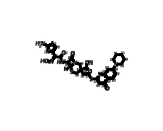 Nc1nc(C(=NO)C(=O)NC2C(=O)N3CC(C=CSc4cc(=O)c5ccc(N6CCCCC6)cc5s4)(C(=O)O)CS[C@H]23)cs1